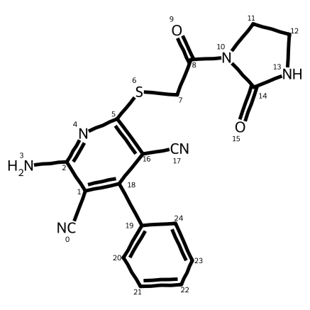 N#Cc1c(N)nc(SCC(=O)N2CCNC2=O)c(C#N)c1-c1ccccc1